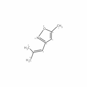 CC(C)=Cc1cc(C)on1